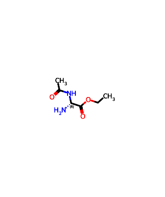 CCOC(=O)[C@H](N)NC(C)=O